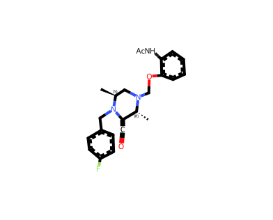 CC(=O)Nc1ccccc1OCN1C[C@H](C)N(Cc2ccc(F)cc2)C(=C=O)[C@H]1C